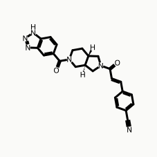 N#Cc1ccc(/C=C/C(=O)N2C[C@H]3CCN(C(=O)c4ccc5[nH]nnc5c4)C[C@@H]3C2)cc1